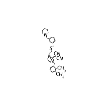 Cc1cccc(CN2CCN(CCSCc3cccc(CN4CCCCC4)c3)C2=C(C#N)C#N)c1C